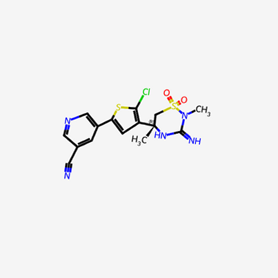 CN1C(=N)N[C@](C)(c2cc(-c3cncc(C#N)c3)sc2Cl)CS1(=O)=O